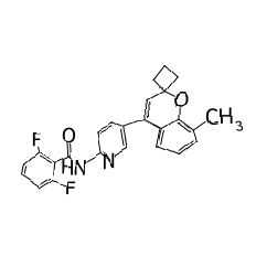 Cc1cccc2c1OC1(C=C2c2ccc(NC(=O)c3c(F)cccc3F)nc2)CCC1